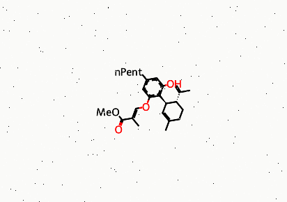 C=C(C)[C@@H]1CCC(C)=C[C@H]1c1c(O)cc(CCCCC)cc1O/C=C(\C)C(=O)OC